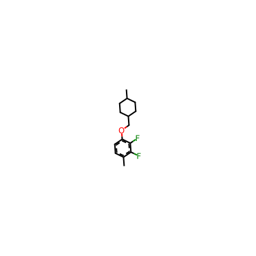 Cc1ccc(OCC2CCC(C)CC2)c(F)c1F